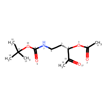 CC(=O)O[C@@H](CCNC(=O)OC(C)(C)C)C(C)=O